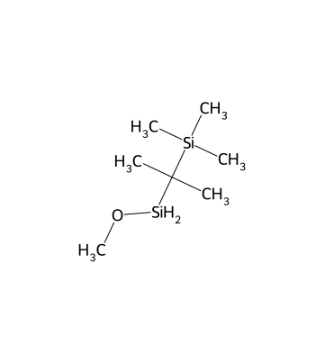 CO[SiH2]C(C)(C)[Si](C)(C)C